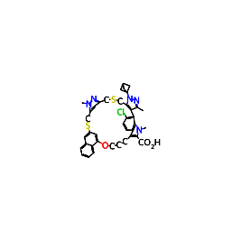 Cc1nn(C23CC(C2)C3)c2c1-c1c(Cl)ccc3c(c(C(=O)O)n(C)c13)CCCOc1cc(cc3ccccc13)SCc1cc(nn1C)CSC2